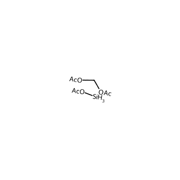 CC(=O)OCOC(C)=O.CC(=O)O[SiH3]